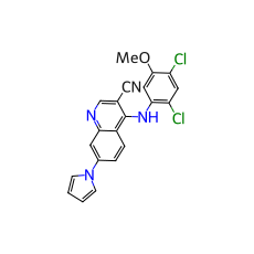 COc1cc(Nc2c(C#N)cnc3cc(-n4cccc4)ccc23)c(Cl)cc1Cl